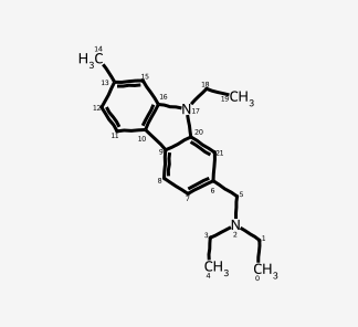 CCN(CC)Cc1ccc2c3ccc(C)cc3n(CC)c2c1